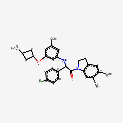 COc1cc(NC(C(=O)N2CCc3cc(OC)c(C(F)(F)F)cc32)c2ccc(Cl)cc2)cc(OC2CC(C(=O)O)C2)c1